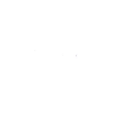 CC1CN(c2ccc(C#N)c(C(F)(F)F)c2)C(C)CN1